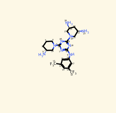 N[C@@H]1CCCN(c2nc(Nc3cc(C(F)(F)F)cc(C(F)(F)F)c3)nc(N3C[C@H](N)C[C@H](N)C3)n2)C1